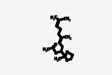 CC(=O)OC(C/C=C(\C)CCC=C(C)C)C1(C)OCCO1